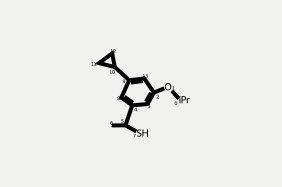 CC(C)Oc1cc(C(C)S)cc(C2CC2)c1